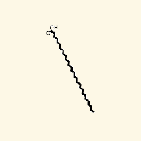 CCCC=CCC=CCC=CCC=CCC=CCCCCCCCCCCCCC(=O)O